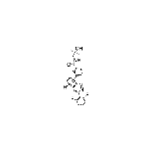 CC(C)(O)CNC(=O)c1cccc([C@@]23CC[C@@H](c4cc(-c5c(F)cccc5F)nnc42)C3(C)C)n1